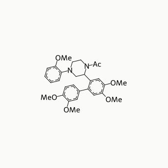 COc1ccc(-c2cc(OC)c(OC)cc2C2CN(c3ccccc3OC)CCN2C(C)=O)cc1OC